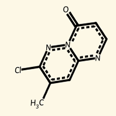 Cc1cc2nccc(=O)n2nc1Cl